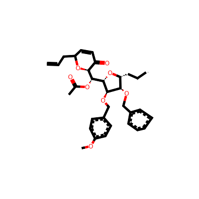 [CH2][CH]C[C@H]1O[C@@H]([C@H](OC(C)=O)[C@H]2OC(CC=C)C=CC2=O)[C@H](OCc2ccc(OC)cc2)[C@H]1OCc1ccccc1